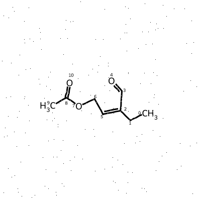 CCC(C=O)=CCOC(C)=O